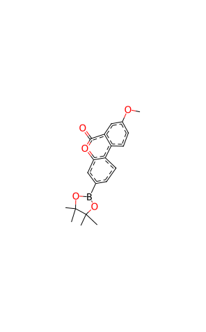 COc1ccc2c(c1)c(=O)oc1cc(B3OC(C)(C)C(C)(C)O3)ccc12